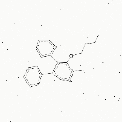 [CH2]c1ccc(-c2ccccc2)c(-c2ccccc2)c1OCCCC